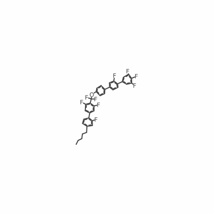 CCCCCc1ccc(-c2cc(F)c(C(F)(F)Oc3ccc(-c4ccc(-c5cc(F)c(F)c(F)c5)c(F)c4)cc3)c(F)c2)c(F)c1